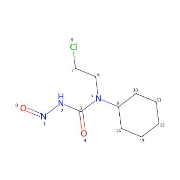 O=NNC(=O)N(CCCl)C1CCCCC1